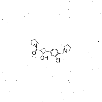 C[C@@H]1CCCN1Cc1ccc(C2CC(C(=O)N3CCCC3)C2O)cc1Cl